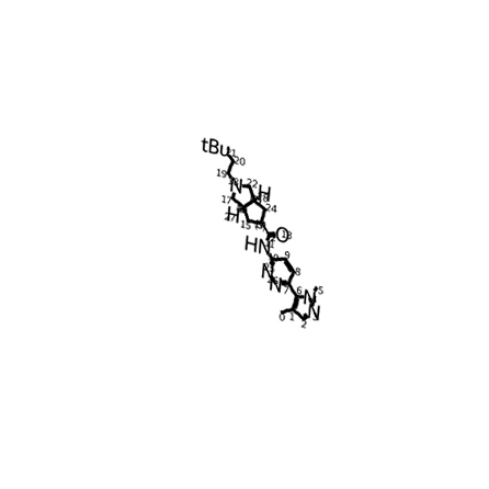 Cc1cnn(C)c1-c1ccc(NC(=O)[C@H]2C[C@@H]3CN(CCC(C)(C)C)C[C@@H]3C2)nn1